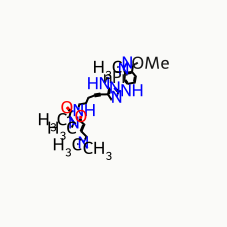 CCCNc1nc(Nc2ccc3c(OC)nn(C)c3c2)ncc1C#CCCCNC(=O)[C@H](C)N(C)C(=O)/C=C/CN(C)C